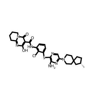 C[C@H]1CCC2(CCN(c3cnc(Sc4cccc(NC(=O)c5c(O)nc6n(c5=O)CCCC6)c4Cl)c(N)n3)CC2)C1